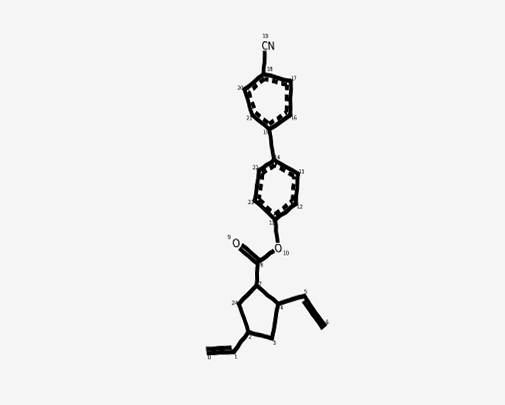 C=CC1CC(C=C)C(C(=O)Oc2ccc(-c3ccc(C#N)cc3)cc2)C1